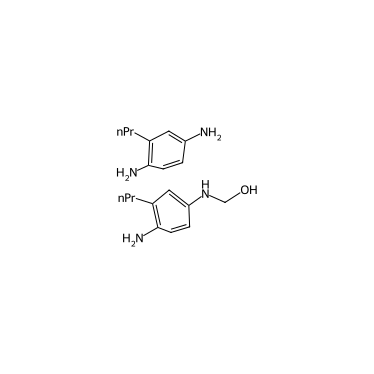 CCCc1cc(N)ccc1N.CCCc1cc(NCO)ccc1N